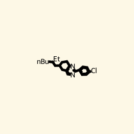 CCCCC(CC)CC1CCc2nc(-c3ccc(Cl)cc3)ncc2C1